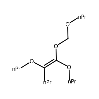 CCCOCO/C(OCCC)=C(/CCC)OCCC